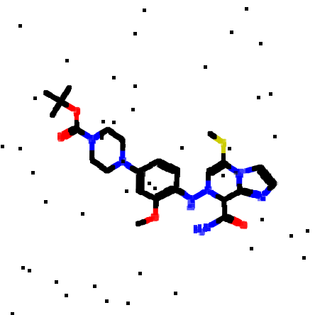 COc1cc(N2CCN(C(=O)OC(C)(C)C)CC2)ccc1NN1C=C(SC)[N+]2C=CN=C2C1C(N)=O